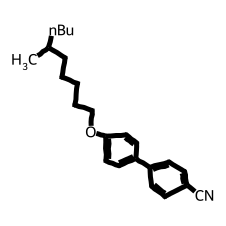 CCCCC(C)CCCCCOc1ccc(-c2ccc(C#N)cc2)cc1